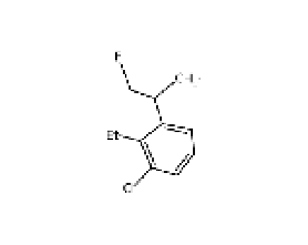 [CH2]C(CF)c1cccc(Cl)c1CC